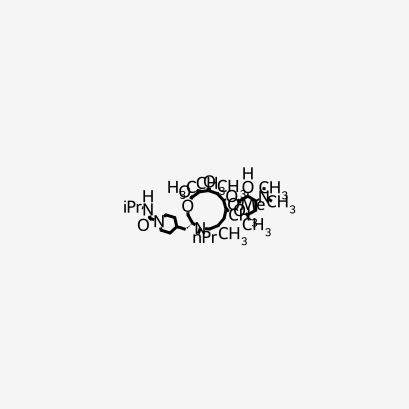 CCCN1C[C@H](C)C[C@@](C)(OC)[C@H](O[C@@H]2O[C@H](C)C[C@H](N(C)C)[C@H]2O)[C@@H](C)C(=O)C(C)(C)C(=O)OC[C@H]1CC1CCN(C(=O)NC(C)C)CC1